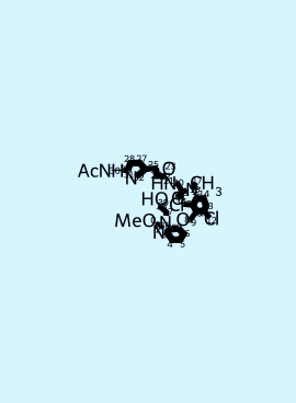 COc1nc2cccc(OCc3c(Cl)ccc(N(C)C(=O)CNC(=O)/C=C/c4ccc(NC(C)=O)nc4)c3Cl)c2n1CCO